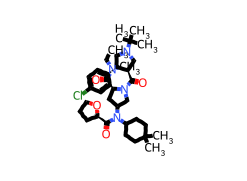 CCN(C)C(=O)[C@@H]1CC(N(C(=O)[C@H]2CCCO2)C2CCC(C)(C)CC2)CN1C(=O)[C@@H]1CN(C(C)(C)C)C[C@H]1c1ccc(Cl)cc1